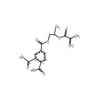 C=C(C)C(=O)OC(C)COC(=O)c1ccc(C(=O)O)c(C(=O)O)c1